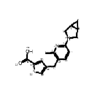 Cc1nc(N2CC3CC3C2)ccc1Cc1csc(C(=O)O)c1